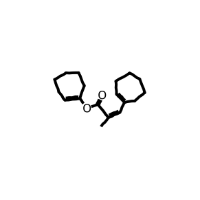 CC(=CC1=CCCCCC1)C(=O)OC1=CCCCCC1